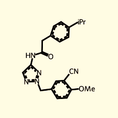 COc1ccc(Cn2ncc(NC(=O)Cc3ccc(C(C)C)cc3)n2)cc1C#N